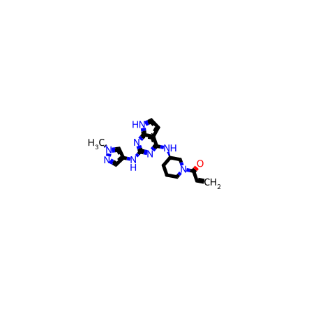 C=CC(=O)N1CCC[C@@H](Nc2nc(Nc3cnn(C)c3)nc3[nH]ccc23)C1